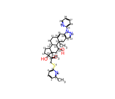 Cc1cccc(SCC(=O)[C@@]2(O)CCC3C4CCC5=Cc6c(cnn6-c6ccccn6)CC5(C)C4[C@@H](O)CC32C)n1